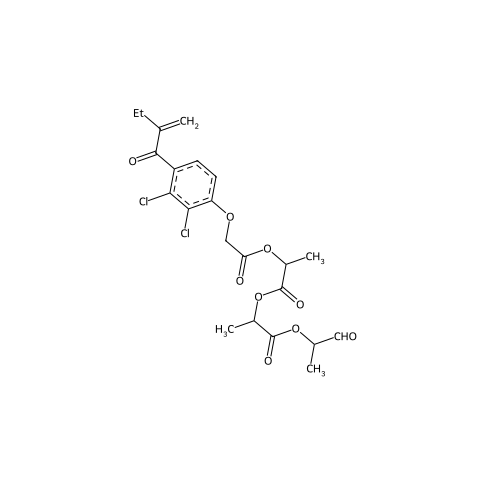 C=C(CC)C(=O)c1ccc(OCC(=O)OC(C)C(=O)OC(C)C(=O)OC(C)C=O)c(Cl)c1Cl